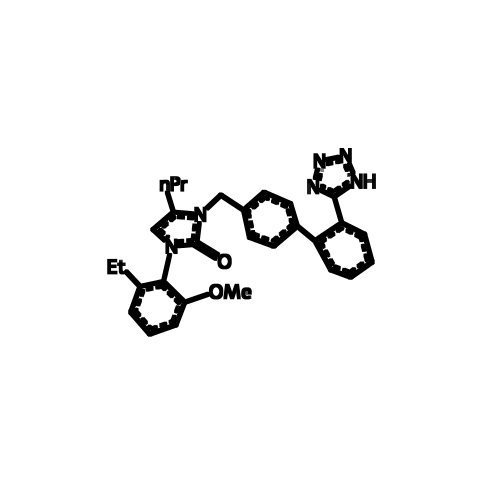 CCCc1cn(-c2c(CC)cccc2OC)c(=O)n1Cc1ccc(-c2ccccc2-c2nnn[nH]2)cc1